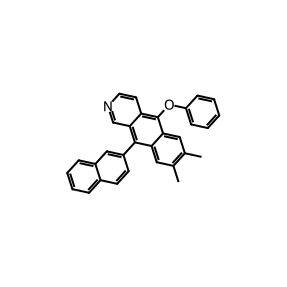 Cc1cc2c(Oc3ccccc3)c3ccncc3c(-c3ccc4ccccc4c3)c2cc1C